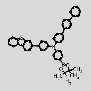 CC1(C)OB(c2ccc(N(c3ccc(-c4ccc(-c5ccccc5)cc4)cc3)c3ccc(-c4ccc5c(c4)sc4ccccc45)cc3)cc2)OC1(C)C